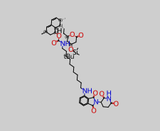 C[C@H]1C=C2C=C[C@H](C)[C@H](CC[C@@H]3C[C@@H](O[Si](C)(C)C(C)(C)C)CC(=O)O3)[C@H]2[C@@H](OC(=O)NCCCCCCCCCCCNc2cccc3c2C(=O)N(C2CCC(=O)NC2=O)C3=O)C1